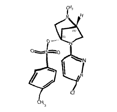 Cc1ccc(S(=O)(=O)O[C@]23C[C@@H](CN2c2ccc(Cl)nn2)N(C)C3)cc1